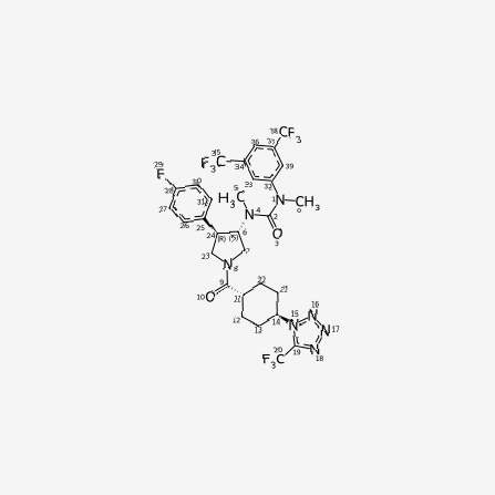 CN(C(=O)N(C)[C@@H]1CN(C(=O)[C@H]2CC[C@H](n3nnnc3C(F)(F)F)CC2)C[C@H]1c1ccc(F)cc1)c1cc(C(F)(F)F)cc(C(F)(F)F)c1